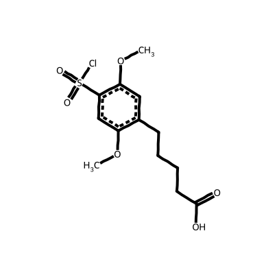 COc1cc(S(=O)(=O)Cl)c(OC)cc1CCCCC(=O)O